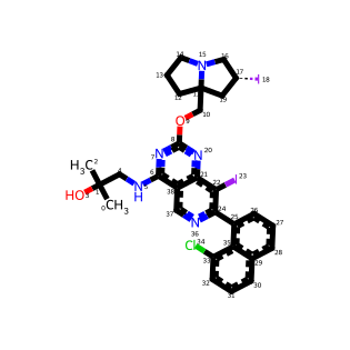 CC(C)(O)CNc1nc(OCC23CCCN2C[C@H](I)C3)nc2c(I)c(-c3cccc4cccc(Cl)c34)ncc12